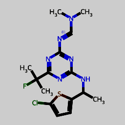 CC(Nc1nc(/N=C/N(C)C)nc(C(C)(C)F)n1)c1ccc(Cl)s1